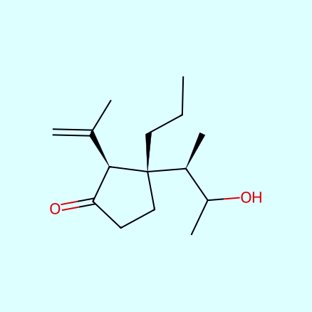 C=C(C)[C@@H]1C(=O)CC[C@@]1(CCC)[C@@H](C)C(C)O